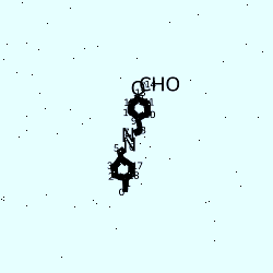 Cc1ccc(/C=N/N=C/c2ccc(OC=O)cc2)cc1